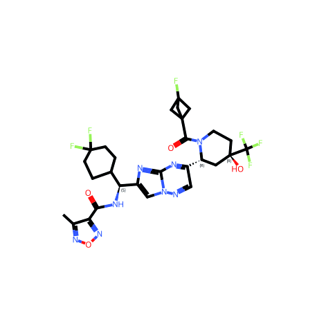 Cc1nonc1C(=O)N[C@H](c1cn2ncc([C@H]3C[C@@](O)(C(F)(F)F)CCN3C(=O)C34CC(F)(C3)C4)nc2n1)C1CCC(F)(F)CC1